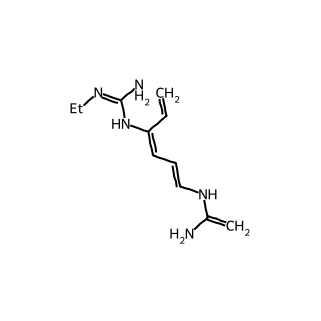 C=C/C(=C\C=C\NC(=C)N)N/C(N)=N\CC